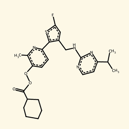 Cc1nc(-c2sc(F)cc2CNc2nccc(C(C)C)n2)ccc1OOC(=O)C1CCCCC1